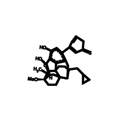 CO[C@]12CCC3(CC1(C)CO)C1Cc4c(C5=CC(=S)CC=C5)cc(O)c5c4[C@@]3(CCN1CC1CC1)[C@@H]2O5